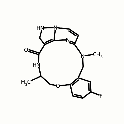 CC1COc2ccc(F)cc2CN(C)C2=NC3=C(CNN3C=C2)C(=O)N1